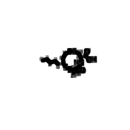 CCCCC[C@@H]1CCSSC[C@H](C(=O)O)NC(=O)C(C)(C)SS1